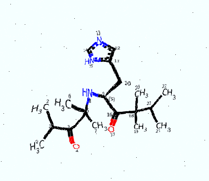 CC(C)C(=O)C(C)(C)N[C@@H](Cc1cnc[nH]1)C(=O)C(C)(C)C(C)C